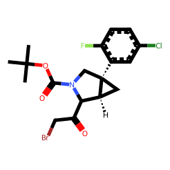 CC(C)(C)OC(=O)N1C[C@@]2(c3cc(Cl)ccc3F)C[C@H]2C1C(=O)CBr